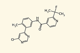 Cc1ccc(NC(=O)c2ccnc(C(C)(C)F)c2)cc1-c1cc(Cl)ncn1